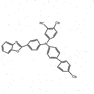 N#Cc1ccc(-c2ccc(N(c3ccc(-c4nc5ccccc5o4)cc3)c3ccc(C#N)c(C#N)c3)cc2)cc1